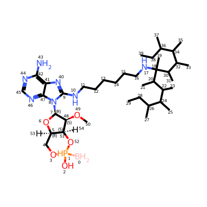 B[PH]1(O)OC[C@H]2O[C@@H](n3c(NCCCCCCNC(C)(C(C)C(C)C(C)C(C)CC)C(C)C(C)C(C)C(C)CC)nc4c(N)ncnc43)[C@@H](OC)[C@H]2O1